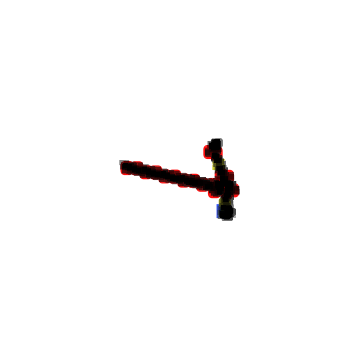 CCC(C)(C)C(=O)OCCSSCCOC(=O)C(C)(CC(C)(C)C(=O)OCCSSc1ccccn1)CC(C)(CC)C(=O)OCCOCCOCCOCCOCCOCCOCCOCCOCCOC